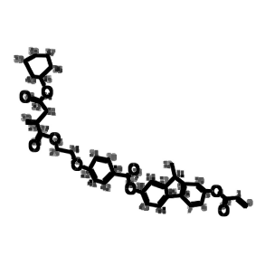 C=CC(=O)Oc1ccc2c(c1)C(C)c1cc(OC(=O)c3ccc(OCCOC(=O)C(=C)CC(=O)OC4CCCCC4)cc3)ccc1-2